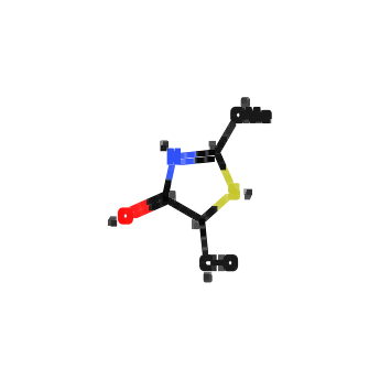 COC1=NC(=O)C(C=O)S1